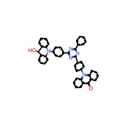 O=c1c2ccccc2n(-c2ccc(-c3nc(-c4ccccc4)nc(-c4ccc(N5c6ccccc6C(O)c6ccccc65)cc4)n3)cc2)c2ccccc12